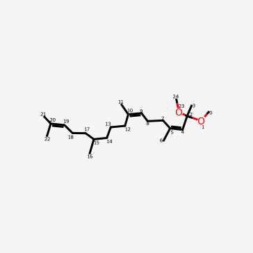 COC(C)(C=C(C)CCC=C(C)CCCC(C)CCC=C(C)C)OC